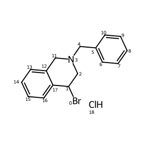 BrC1CN(Cc2ccccc2)Cc2ccccc21.Cl